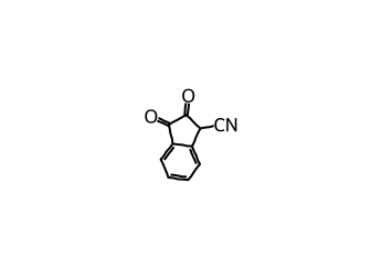 N#CC1C(=O)C(=O)c2ccccc21